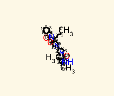 CCCCC1N(CC2CCCCC2)C(=O)OC12CCN(C1CCN(C(=O)c3[nH]c(C)cc3C)CC1)CC2